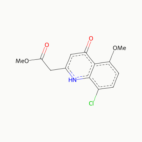 COC(=O)Cc1cc(=O)c2c(OC)ccc(Cl)c2[nH]1